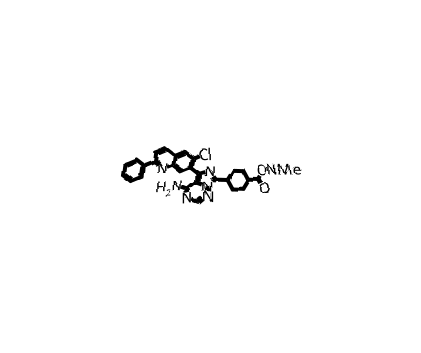 CNOC(=O)C1CCC(c2nc(-c3cc4nc(-c5ccccc5)ccc4cc3Cl)c3c(N)ncnn23)CC1